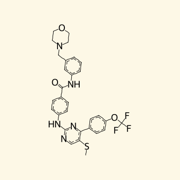 CSc1cnc(Nc2ccc(C(=O)Nc3cccc(CN4CCOCC4)c3)cc2)nc1-c1ccc(OC(F)(F)F)cc1